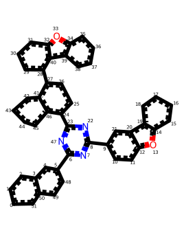 c1ccc2cc(-c3nc(-c4ccc5oc6ccccc6c5c4)nc(-c4ccc(-c5cccc6oc7ccccc7c56)c5ccccc45)n3)ccc2c1